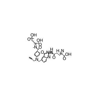 C#CCN(Cc1ccc2nc(NC(=O)CC[C@H](N)C(=O)O)[nH]c(=O)c2c1)c1ccc(C(=O)N(C)[C@@H](CCC(=O)O)C(=O)O)cc1